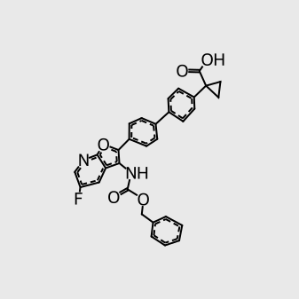 O=C(Nc1c(-c2ccc(-c3ccc(C4(C(=O)O)CC4)cc3)cc2)oc2ncc(F)cc12)OCc1ccccc1